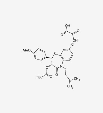 CCCCC(=O)O[C@@H]1C(=O)N(CCN(C)C)c2ccc(Cl)cc2S[C@@H]1c1ccc(OC)cc1.O=C(O)C(=O)O